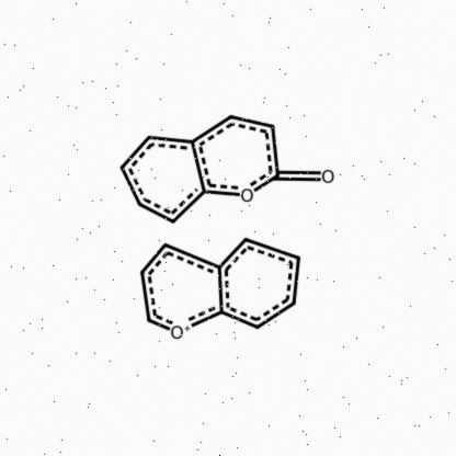 O=c1ccc2ccccc2o1.c1ccc2[o+]cccc2c1